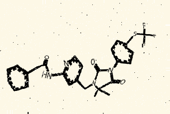 CC1(C)C(=O)N(c2ccc(SC(F)(F)F)cc2)C(=O)N1Cc1ccnc(NC(=O)c2ccccc2)c1